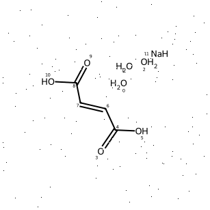 O.O.O.O=C(O)C=CC(=O)O.[NaH]